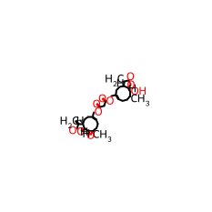 C=C1C(=O)O[C@@H]2[C@H](O)[C@@H](C)CC/C=C(/COC(=O)CC(=O)OC/C3=C/CC[C@@]4(C)O[C@H]4[C@H]4OC(=O)C(=C)[C@@H]4CC3)CC[C@@H]12